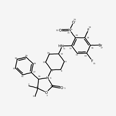 CC1(C)OC(=O)N(C2CCC(Nc3cc(F)c(Br)c(F)c3[N+](=O)[O-])CC2)C1c1ccccc1